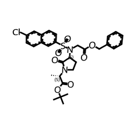 C[C@@H](C(=O)OC(C)(C)C)N1CC[C@H](N(CC(=O)OCc2ccccc2)S(=O)(=O)c2ccc3cc(Cl)ccc3c2)C1=O